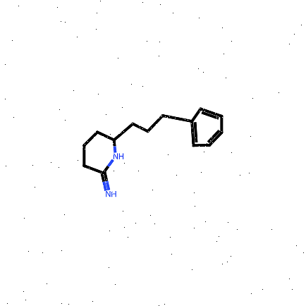 N=C1CCCC(CCCc2ccccc2)N1